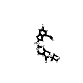 CC1(N2Cc3nc(NC4Cc5cc(Cl)cc(C#N)c5C4)ncc3C2=O)COC1